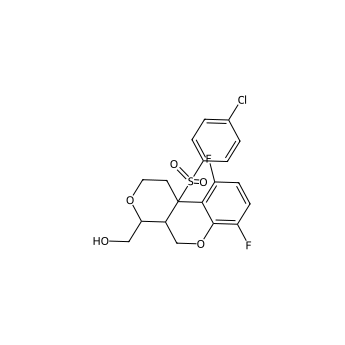 O=S(=O)(c1ccc(Cl)cc1)C12CCOC(CO)C1COc1c(F)ccc(F)c12